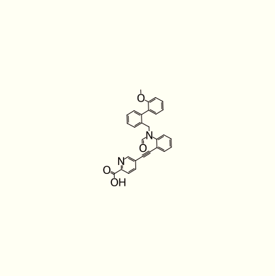 COc1ccccc1-c1ccccc1CN(C=O)c1ccccc1C#Cc1ccc(C(=O)O)nc1